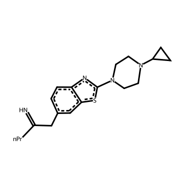 CCCC(=N)Cc1ccc2nc(N3CCN(C4CC4)CC3)sc2c1